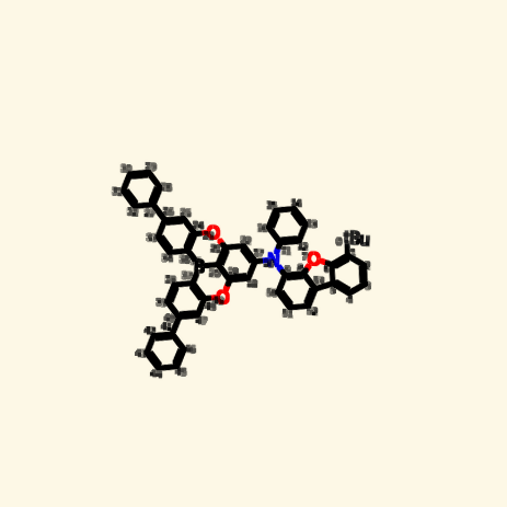 CC(C)(C)c1cccc2c1oc1c(N(c3ccccc3)c3cc4c5c(c3)Oc3cc(-c6ccccc6)ccc3B5c3ccc(-c5ccccc5)cc3O4)cccc12